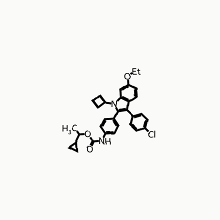 CCOc1ccc2c(-c3ccc(Cl)cc3)c(-c3ccc(NC(=O)OC(C)C4CC4)cc3)n(C3CCC3)c2c1